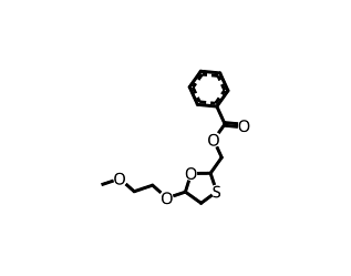 COCCOC1CSC(COC(=O)c2ccccc2)O1